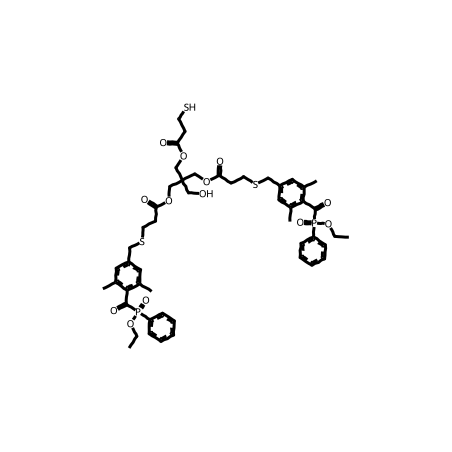 CCOP(=O)(C(=O)c1c(C)cc(CSCCC(=O)OCC(CO)(COC(=O)CCS)COC(=O)CCSCc2cc(C)c(C(=O)P(=O)(OCC)c3ccccc3)c(C)c2)cc1C)c1ccccc1